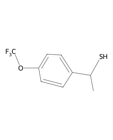 CC(S)c1ccc(OC(F)(F)F)cc1